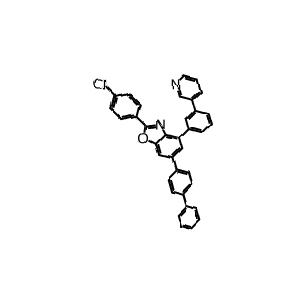 Clc1ccc(-c2nc3c(-c4cccc(-c5cccnc5)c4)cc(-c4ccc(-c5ccccc5)cc4)cc3o2)cc1